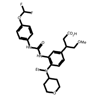 CCN(c1ccc(C(COC)CC(=O)O)cc1NC(=O)Nc1ccc(OC(F)F)cc1)C1CCOCC1